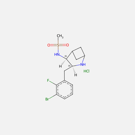 CS(=O)(=O)N[C@H]1C2CC(C2)N[C@H]1Cc1cccc(Br)c1F.Cl